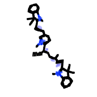 CN\C(=C/C=C(C)/C=C/C1=[N+](C)c2ccccc2C1(C)C)c1ccc(/C=C/C2=[N+](C)c3ccccc3C2(C)C)c[n+]1C